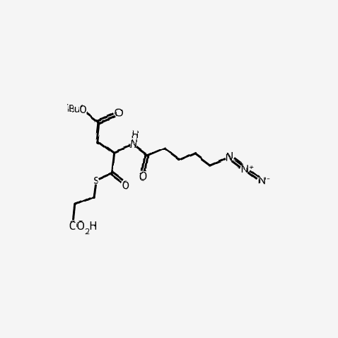 CC(C)COC(=O)CC(NC(=O)CCCCN=[N+]=[N-])C(=O)SCCC(=O)O